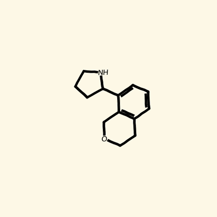 c1cc2c(c(C3CCCN3)c1)COCC2